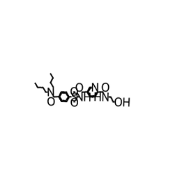 CCCCN(CCCC)C(=O)c1ccc(S(=O)(=O)NC(=O)c2ccc(C(=O)NCCO)nc2)cc1